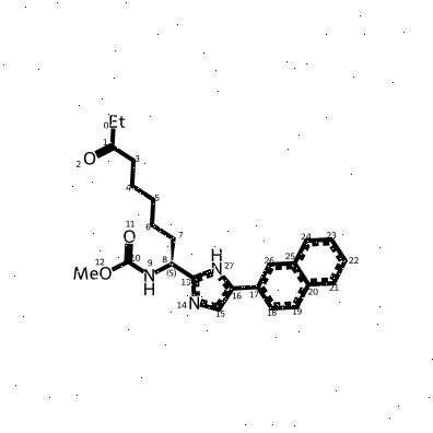 CCC(=O)CCCCC[C@H](NC(=O)OC)c1ncc(-c2ccc3ccccc3c2)[nH]1